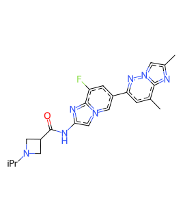 Cc1cn2nc(-c3cc(F)c4nc(NC(=O)C5CN(C(C)C)C5)cn4c3)cc(C)c2n1